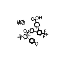 COc1ccc([C@@H]2CN(C(C)(C)C)C[C@@]2(F)C(=O)N2CC[C@@H](c3ccc(C(F)(F)F)cc3N3CCC(C(=O)O)CC3)C2)cc1.Cl.Cl